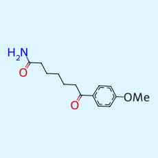 COc1ccc(C(=O)CCCCCC(N)=O)cc1